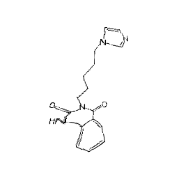 O=c1[nH]c2ccccc2c(=O)n1CCCCCn1ccnc1